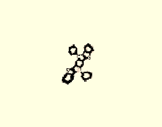 c1ccc(-p2c3cc4c5sc6ccccc6c5p(-c5ccccc5)c4cc3c3sc4ccccc4c32)cc1